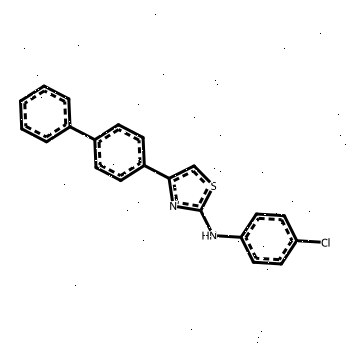 Clc1ccc(Nc2nc(-c3ccc(-c4ccccc4)cc3)cs2)cc1